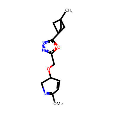 COC1=NCC(OCc2nnc(C34CC(C)(C3)C4)o2)C=C1